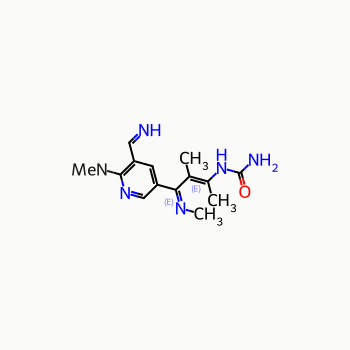 C/N=C(\C(C)=C(/C)NC(N)=O)c1cnc(NC)c(C=N)c1